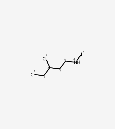 ClCC(Cl)CCNI